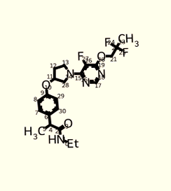 CCNC(=O)C(C)c1ccc(OC2CCN(c3ncnc(OCC(C)(F)F)c3F)C2)cc1